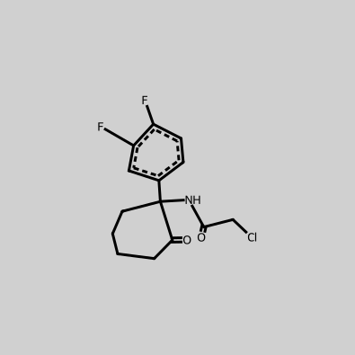 O=C(CCl)NC1(c2ccc(F)c(F)c2)CCCCC1=O